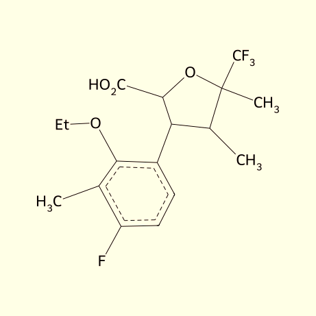 CCOc1c(C2C(C(=O)O)OC(C)(C(F)(F)F)C2C)ccc(F)c1C